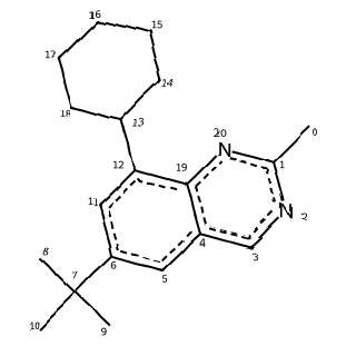 Cc1ncc2cc(C(C)(C)C)cc(C3CCCCC3)c2n1